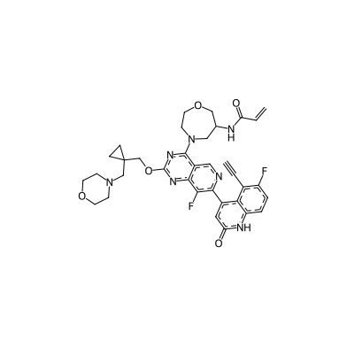 C#Cc1c(F)ccc2[nH]c(=O)cc(-c3ncc4c(N5CCOCC(NC(=O)C=C)C5)nc(OCC5(CN6CCOCC6)CC5)nc4c3F)c12